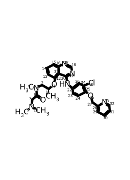 C[C@@H](CN(C)C(=O)CN(C)C)Oc1cccc2ncnc(Nc3ccc(OCc4ccccn4)c(Cl)c3)c12